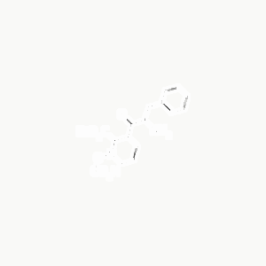 CCOC(=O)C1C(C(=O)C(N)Cc2ccccc2)C=CCN1OC(=O)O